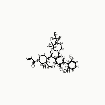 C=CC(=O)N1CCN2C(=O)c3c(N4CCN(C(F)(F)F)C(C)(C)C4)nc(-c4c(O)cccc4F)c(Cl)c3OC[C@H]2C1